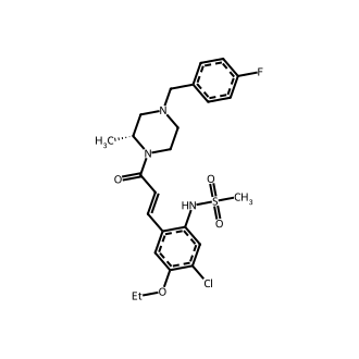 CCOc1cc(C=CC(=O)N2CCN(Cc3ccc(F)cc3)C[C@H]2C)c(NS(C)(=O)=O)cc1Cl